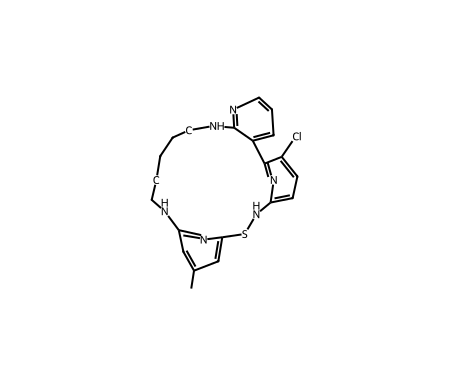 Cc1cc2nc(c1)SNc1ccc(Cl)c(n1)-c1cccnc1NCCCCCN2